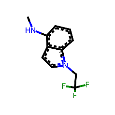 CNc1cccc2c1ccn2CC(F)(F)F